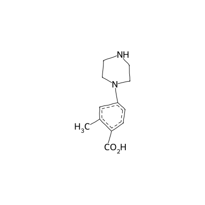 Cc1cc(N2CCNCC2)ccc1C(=O)O